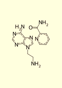 NC(=O)c1ccccn1.NCCn1cnc2c(N)ncnc21